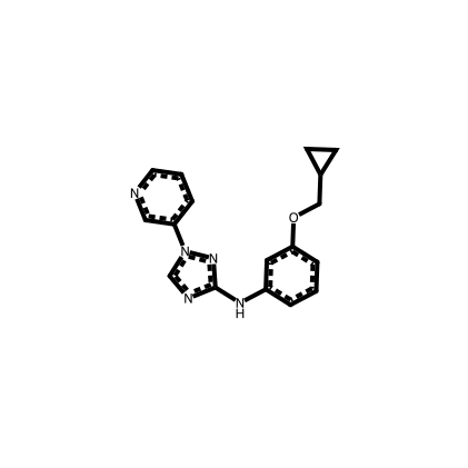 c1cc(Nc2ncn(-c3cccnc3)n2)cc(OCC2CC2)c1